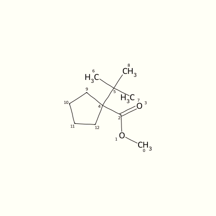 COC(=O)C1(C(C)(C)C)CCCC1